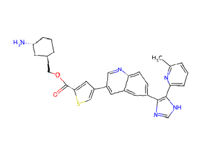 Cc1cccc(-c2[nH]cnc2-c2ccc3ncc(-c4csc(C(=O)OC[C@@H]5CCC[C@@H](N)C5)c4)cc3c2)n1